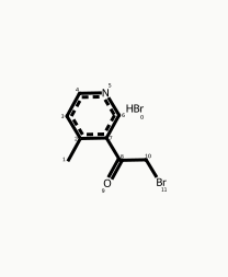 Br.Cc1ccncc1C(=O)CBr